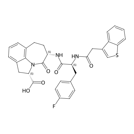 O=C(Cc1csc2ccccc12)N[C@@H](Cc1ccc(F)cc1)C(=O)N[C@H]1CCc2cccc3c2N(C1=O)[C@H](C(=O)O)C3